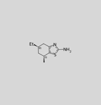 CC[C@H]1Cc2nc(N)sc2[C@@H](C)C1